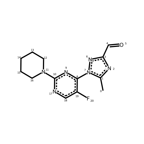 Cc1nc(C=O)nn1-c1nc(N2CCCCC2)ncc1F